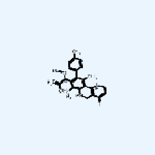 C=C(O)[C@@H](OC(C)(C)C)c1c(C)c2c(c(C)c1-c1ccc(C)cc1)C1=C(CN2)C(I)=CCN1